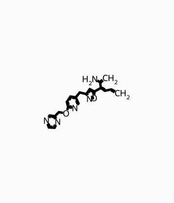 C=C/C=C(\C(=C)N)c1cc(Cc2ccc(OCc3cnccn3)nc2)no1